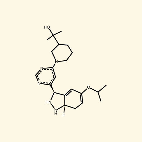 CC(C)OC1=CC[C@H]2NN[C@@H](c3cc(N4CCCC(C(C)(C)O)C4)ncn3)C2=C1